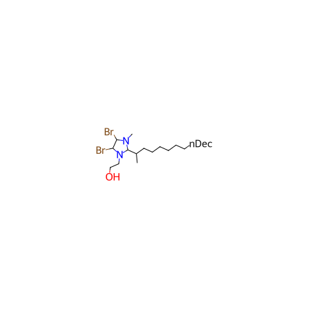 CCCCCCCCCCCCCCCCC(C)C1N(C)C(Br)C(Br)N1CCO